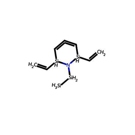 C=C[SiH]1C=C=C[SiH](C=C)N1[SiH2][SiH3]